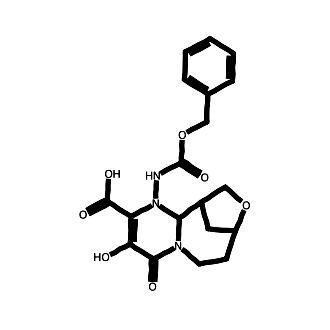 O=C(NN1C(C(=O)O)=C(O)C(=O)N2CCC3CC(CO3)C21)OCc1ccccc1